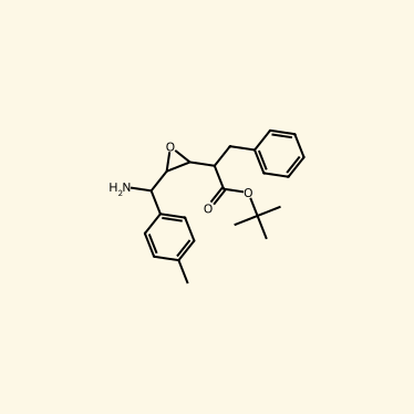 Cc1ccc(C(N)C2OC2C(Cc2ccccc2)C(=O)OC(C)(C)C)cc1